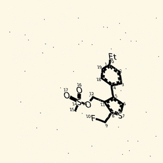 CCc1ccc(-c2csc(CF)c2COS(C)(=O)=O)cc1